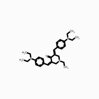 CCN1CC(=Cc2ccc(N(CC)CC)cc2)C(=O)C(=Cc2ccc(N(CC)CC)cc2)C1